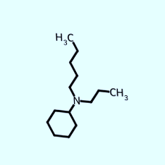 CCCCCN(CCC)C1CCCCC1